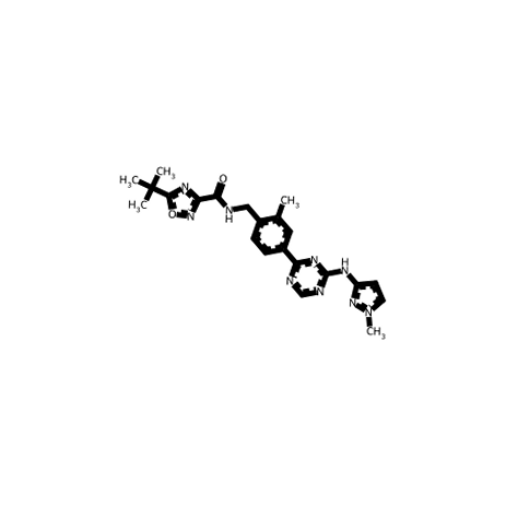 Cc1cc(-c2ncnc(Nc3ccn(C)n3)n2)ccc1CNC(=O)c1noc(C(C)(C)C)n1